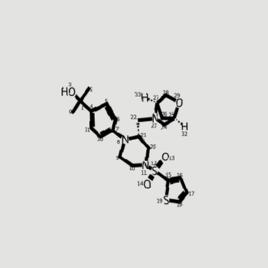 CC(C)(O)c1ccc(N2CCN(S(=O)(=O)c3cccs3)C[C@H]2CN2C[C@H]3C[C@@H]2CO3)cc1